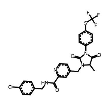 CC1C(=O)N(c2ccc(SC(F)(F)F)cc2)C(=O)N1Cc1ccnc(C(=O)NCc2ccc(Cl)cc2)c1